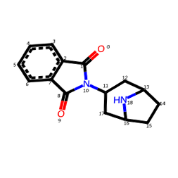 O=C1c2ccccc2C(=O)N1C1CC2CCC(C1)N2